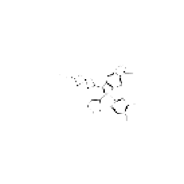 Cc1n[nH]c2cc3c(C4CC5(CC(C(=O)O)C5)C4)c(C4CCOCC4)n(-c4ccc(F)c(F)c4)c3cc12